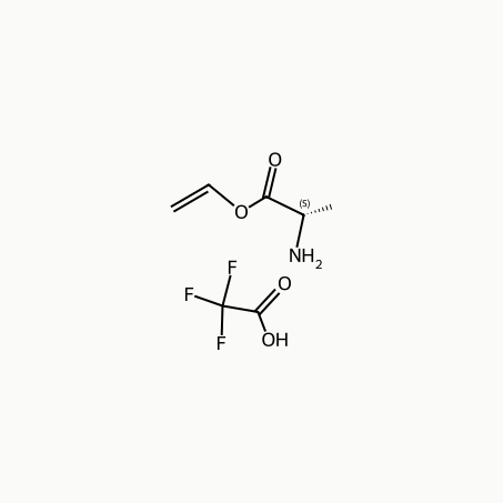 C=COC(=O)[C@H](C)N.O=C(O)C(F)(F)F